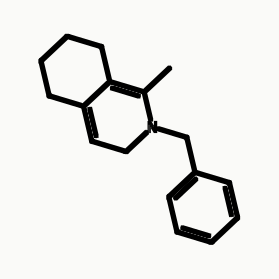 CC1=C2CCCCC2=CCN1Cc1ccccc1